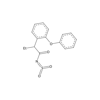 CCC(C(=O)N=S(=O)=O)c1ccccc1Oc1ccccc1